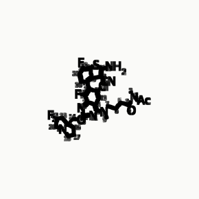 CC(=O)N(C)C(=O)CCCN(C)c1nc(OC[C@@]23CCCN2C[C@H](F)C3)nc2c(F)c(-c3ccc(F)c4sc(N)c(C#N)c34)c(Cl)cc12